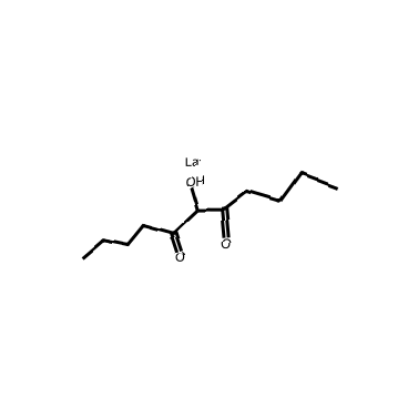 CCCCC(=O)C(O)C(=O)CCCC.[La]